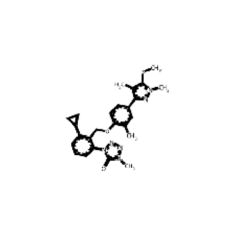 CSc1c(C)c(-c2ccc(OCc3c(C4CC4)cccc3-n3nnn(C)c3=O)c(C)c2)nn1C